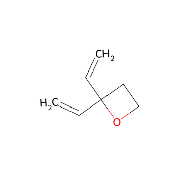 C=CC1(C=C)CCO1